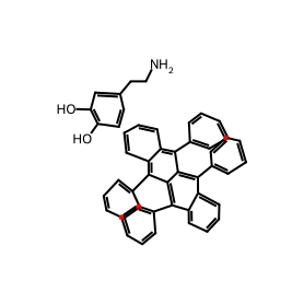 NCCc1ccc(O)c(O)c1.c1ccc(-c2c3ccccc3c(-c3ccccc3)c3c(-c4ccccc4)c4ccccc4c(-c4ccccc4)c23)cc1